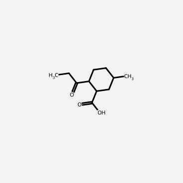 CCC(=O)C1CCC(C)CC1C(=O)O